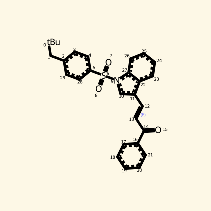 CC(C)(C)Cc1ccc(S(=O)(=O)n2cc(/C=C/C(=O)c3ccccc3)c3ccccc32)cc1